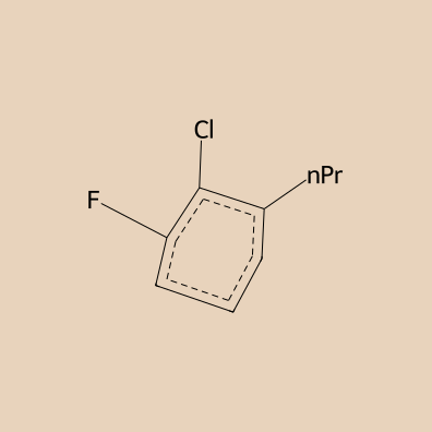 CCCc1cccc(F)c1Cl